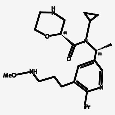 CONCCCc1cc([C@@H](C)N(C(=O)[C@H]2CNCCO2)C2CC2)cnc1C(C)C